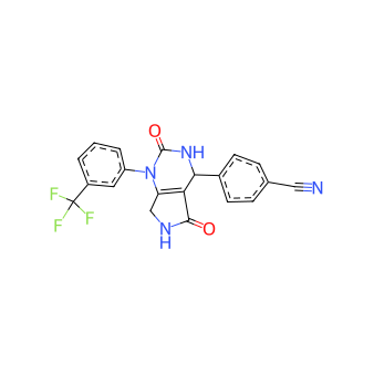 N#Cc1ccc(C2NC(=O)N(c3cccc(C(F)(F)F)c3)C3=C2C(=O)NC3)cc1